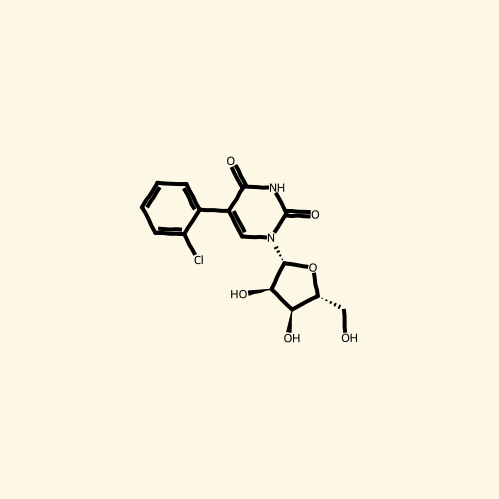 O=c1[nH]c(=O)n([C@@H]2O[C@H](CO)[C@@H](O)[C@H]2O)cc1-c1ccccc1Cl